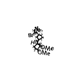 COc1ccc(Nc2cccc(-c3c(Br)cnn3C)c2)cc1OC